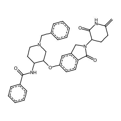 C=C1CCC(N2Cc3cc(OC4CN(Cc5ccccc5)CCC4NC(=O)c4ccccc4)ccc3C2=O)C(=O)N1